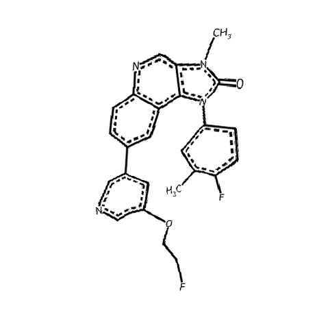 Cc1cc(-n2c(=O)n(C)c3cnc4ccc(-c5cncc(OCCF)c5)cc4c32)ccc1F